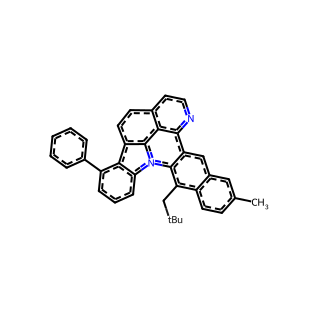 Cc1ccc2c(CC(C)(C)C)c3c(cc2c1)c1nccc2ccc4c5c(-c6ccccc6)cccc5n3c4c21